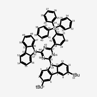 CC(C)(C)c1ccc2c(c1)c1cc(C(C)(C)C)ccc1n2-c1nc(-c2cccc(S(c3ccccc3)(c3ccccc3)c3ccccc3)c2)nc(-n2c3ccccc3c3ccccc32)n1